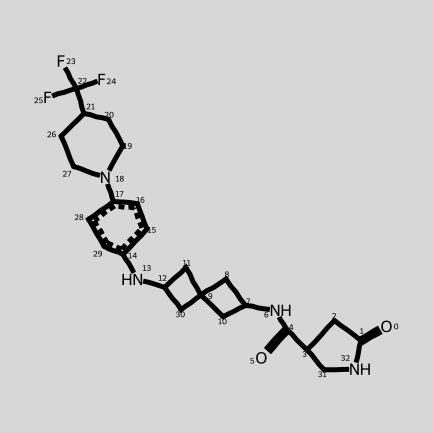 O=C1CC(C(=O)NC2CC3(C2)CC(Nc2ccc(N4CCC(C(F)(F)F)CC4)cc2)C3)CN1